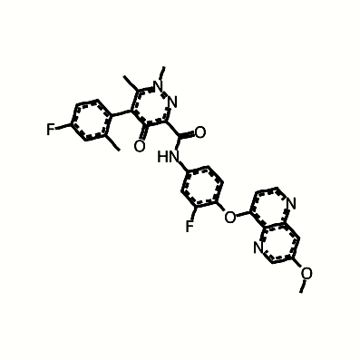 COc1cnc2c(Oc3ccc(NC(=O)c4nn(C)c(C)c(-c5ccc(F)cc5C)c4=O)cc3F)ccnc2c1